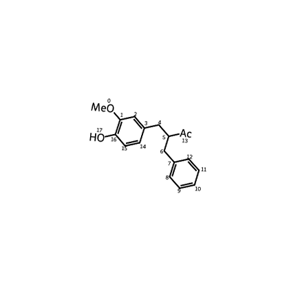 COc1cc(CC(Cc2ccccc2)C(C)=O)ccc1O